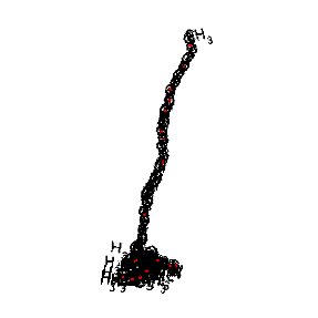 COCCOCCOCCOCCOCCOCCOCCOCCOCCOCCOCCOCCOCCOCCOCCOCCOCCOCCOCCOCCOCCOCCN(C)C(=O)CCC(=O)OC[C@@H](c1ccc(-c2scnc2C)cc1)N(C=O)[C@@H]1C[C@@H](O[Si](C)(C)C(C)(C)C)CN1C(=O)[C@@H](NC(=O)OC(C)(C)C)C(C)(C)C